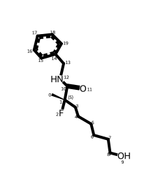 C[C@](F)(CCCCC[CH]O)C(=O)NCc1ccccc1